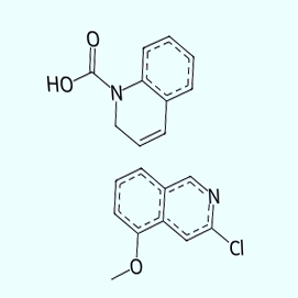 COc1cccc2cnc(Cl)cc12.O=C(O)N1CC=Cc2ccccc21